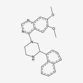 COc1cc2ncnc(N3CCNC(c4cccc5ccccc45)C3)c2cc1OC